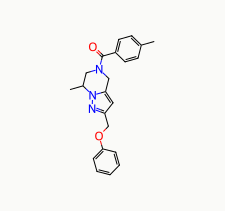 Cc1ccc(C(=O)N2Cc3cc(COc4ccccc4)nn3C(C)C2)cc1